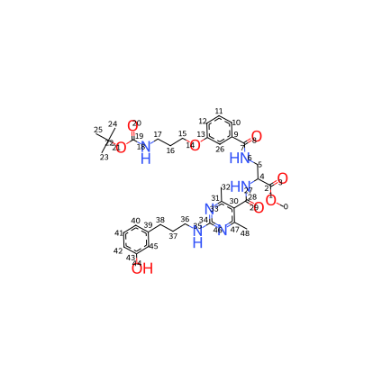 COC(=O)C(CNC(=O)c1cccc(OCCCNC(=O)OC(C)(C)C)c1)NC(=O)c1c(C)nc(NCCCc2cccc(O)c2)nc1C